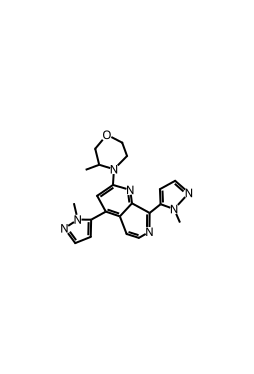 CC1COCCN1c1cc(-c2ccnn2C)c2ccnc(-c3ccnn3C)c2n1